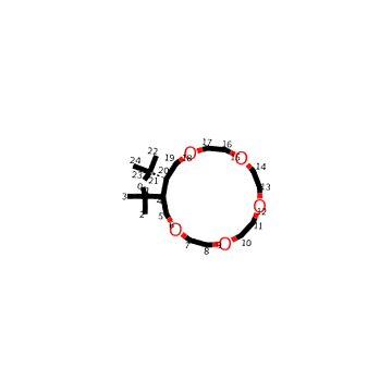 CC(C)(C)C1COCCOCCOCCOCCOC[C@H]1C(C)(C)C